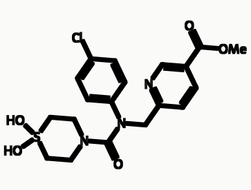 COC(=O)c1ccc(CN(C(=O)N2CCS(O)(O)CC2)c2ccc(Cl)cc2)nc1